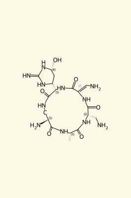 C[C@@H]1NC(=O)[C@@H](N)CNC(=O)[C@H](C2C[C@@H](O)NC(=N)N2)NC(=O)/C(=C/N)NC(=O)[C@H](CN)NC1=O